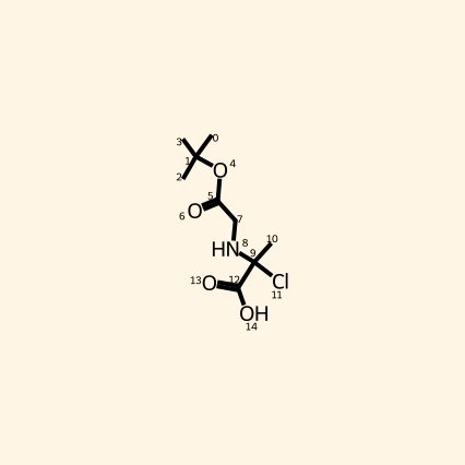 CC(C)(C)OC(=O)CNC(C)(Cl)C(=O)O